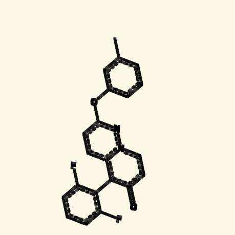 Cc1cccc(Oc2ccc3c(-c4c(F)cccc4F)c(=O)ccn3n2)c1